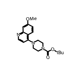 COc1ccc2c(N3CCN(C(=O)OC(C)(C)C)CC3)ccnc2c1